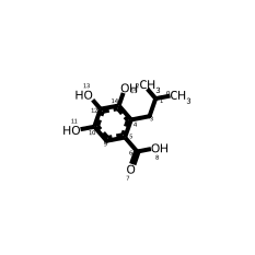 CC(C)Cc1c(C(=O)O)cc(O)c(O)c1O